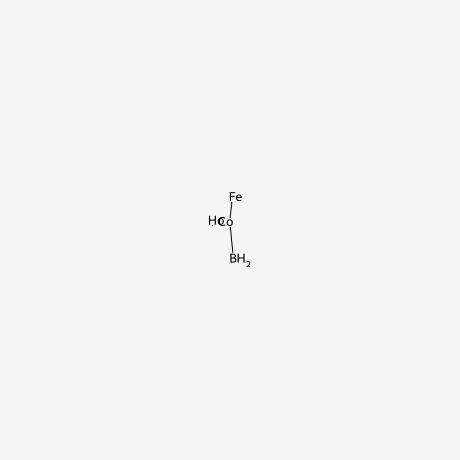 [BH2][Co][Fe].[Ho]